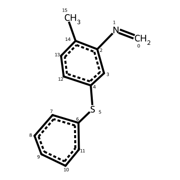 C=Nc1cc(Sc2ccccc2)ccc1C